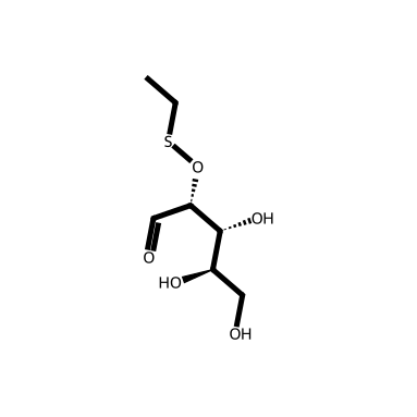 CCSO[C@@H](C=O)[C@H](O)[C@H](O)CO